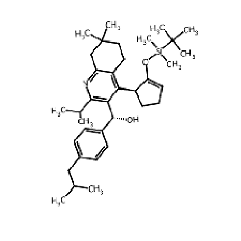 CC(C)Cc1ccc([C@@H](O)c2c(C(C)C)nc3c(c2[C@@H]2CCC=C2O[Si](C)(C)C(C)(C)C)CCC(C)(C)C3)cc1